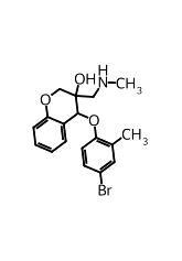 CNCC1(O)COc2ccccc2C1Oc1ccc(Br)cc1C